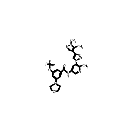 Cc1ncc(NC(=O)c2cc(OC(F)(F)F)cc(N3CCOCC3)c2)cc1-n1cc(-c2cnn(C)c2C)nn1